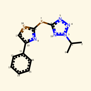 CC(C)n1nnc(Sc2nc(-c3ccccc3)cs2)n1